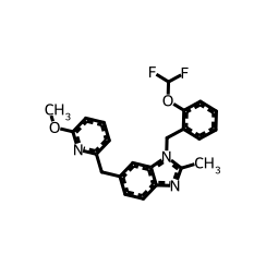 COc1cccc(Cc2ccc3nc(C)n(Cc4ccccc4OC(F)F)c3c2)n1